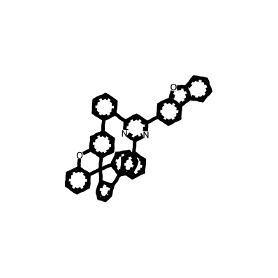 c1ccc(-c2nc(-c3ccc4c(c3)oc3ccccc34)cc(-c3ccccc3-c3ccc4c(c3)Oc3ccccc3C43c4ccccc4-c4ccccc43)n2)cc1